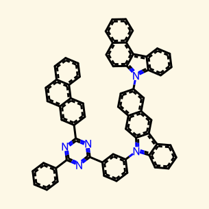 c1ccc(-c2nc(-c3cccc(-n4c5ccccc5c5cc6cc(-n7c8ccccc8c8c9ccccc9ccc87)ccc6cc54)c3)nc(-c3ccc4c(ccc5ccccc54)c3)n2)cc1